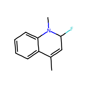 CC1=CC(F)N(C)c2ccccc21